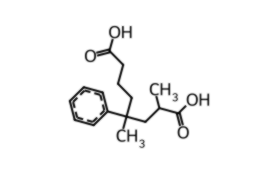 CC(CC(C)(CCCC(=O)O)c1ccccc1)C(=O)O